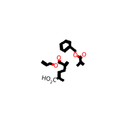 C=C(C)C(=O)OCc1ccccc1.C=CCOC(=O)C(=C)CC=C(C)C(=O)O